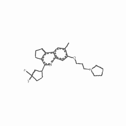 Cc1cc2c3c(c(C4CCC(F)(F)C4)nc2cc1OCCCN1CCCC1)CCC3